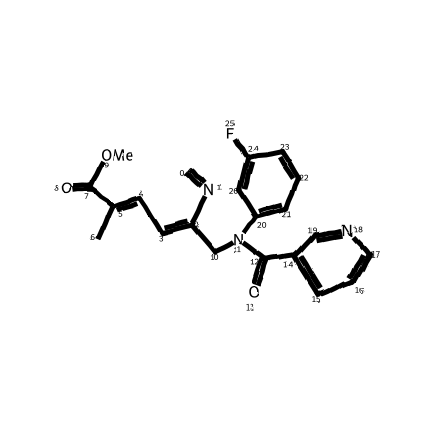 C=N/C(=C\C=C(/C)C(=O)OC)CN(C(=O)c1cccnc1)c1cccc(F)c1